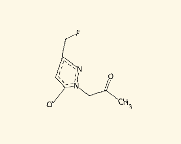 CC(=O)Cn1nc(CF)cc1Cl